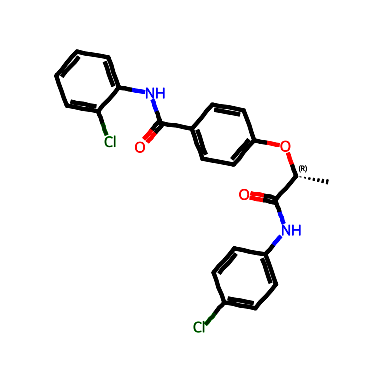 C[C@@H](Oc1ccc(C(=O)Nc2ccccc2Cl)cc1)C(=O)Nc1ccc(Cl)cc1